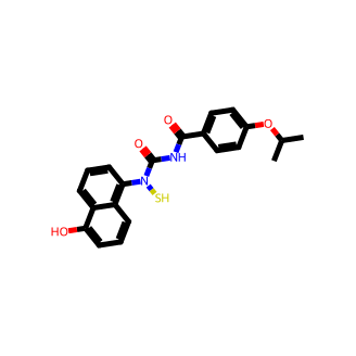 CC(C)Oc1ccc(C(=O)NC(=O)N(S)c2cccc3c(O)cccc23)cc1